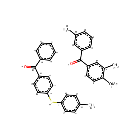 COc1ccc(C(=O)c2cccc(C)c2)cc1C.Cc1ccc(Sc2ccc(C(=O)c3ccccc3)cc2)cc1